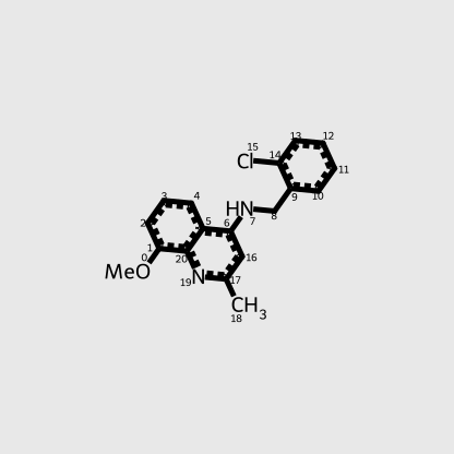 COc1cccc2c(NCc3ccccc3Cl)cc(C)nc12